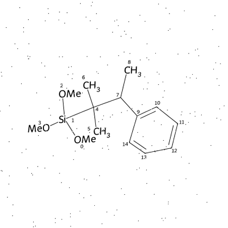 CO[Si](OC)(OC)C(C)(C)C(C)c1ccccc1